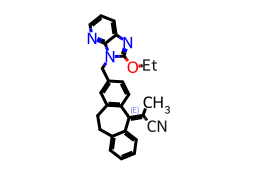 CCOc1nc2cccnc2n1Cc1ccc2c(c1)CCc1ccccc1/C2=C(/C)C#N